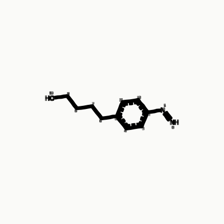 N=Nc1ccc(CCCCO)cc1